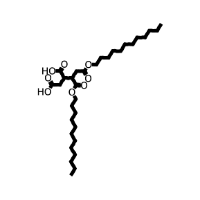 CCCCCCCCCCCCOC(=O)CC(C(=O)OCCCCCCCCCCCC)C(CC(=O)O)C(=O)O